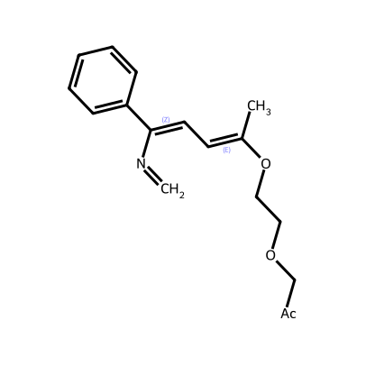 C=N/C(=C\C=C(/C)OCCOCC(C)=O)c1ccccc1